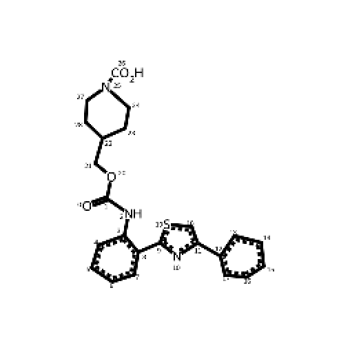 O=C(Nc1ccccc1-c1nc(-c2ccccc2)cs1)OCC1CCN(C(=O)O)CC1